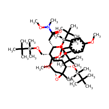 COc1ccc(COC[C@H](C)[C@H]2OC2(C)[C@@H](O[Si](C)(C)C(C)(C)C)[C@@H](CO[Si](C)(C)C(C)(C)C)[C@H](O)[C@H](CO[Si](C)(C)C(C)(C)C)[C@H](CC(=O)N(C)OC)O[Si](C)(C)C(C)(C)C)cc1